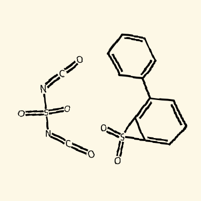 O=C=NS(=O)(=O)N=C=O.O=S1(=O)c2cccc(-c3ccccc3)c21